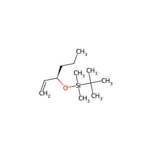 C=C[C@@H](CCC)O[Si](C)(C)C(C)(C)C